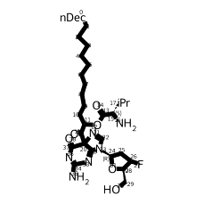 CCCCCCCCCCCCCCCCCCCCC(OC(=O)[C@@H](N)C(C)C)C(=O)C12N=CN([C@H]3CC(F)[C@@H](CO)O3)C1=NC(N)=NC2=O